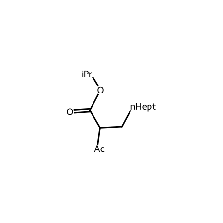 CCCCCCCCC(C(C)=O)C(=O)OC(C)C